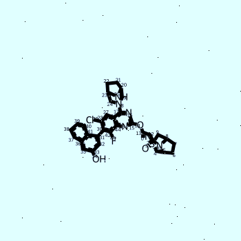 CN=S1(=O)CC2CCC(C1)N2CCCOc1nc(N2CC3CCC(C2)N3)c2cc(Cl)c(-c3cc(O)cc4ccccc34)c(F)c2n1